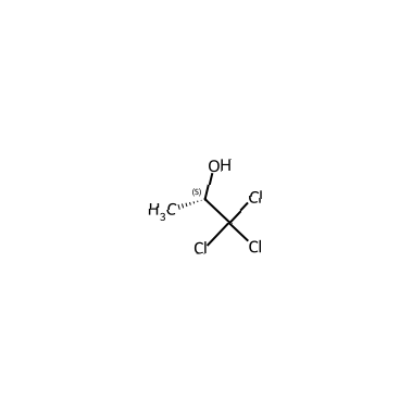 C[C@H](O)C(Cl)(Cl)Cl